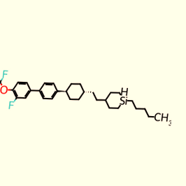 CCCCC[SiH]1CCC(CC[C@H]2CC[C@H](c3ccc(-c4ccc(OC(F)F)c(F)c4)cc3)CC2)CC1